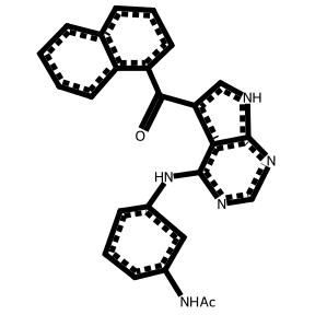 CC(=O)Nc1cccc(Nc2ncnc3[nH]cc(C(=O)c4cccc5ccccc45)c23)c1